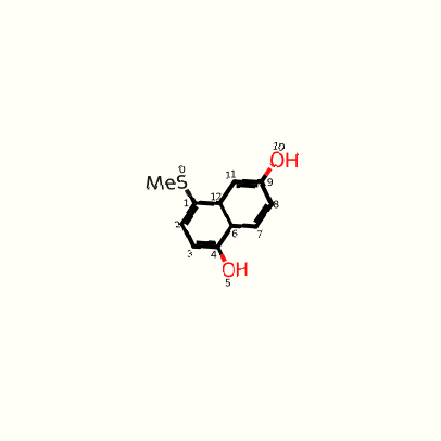 CSC1=CC=C(O)C2C=CC(O)=CC12